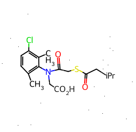 Cc1ccc(Cl)c(C)c1N(CC(=O)O)C(=O)CSC(=O)CC(C)C